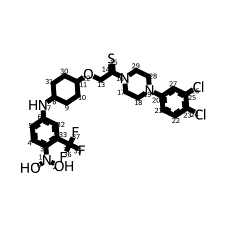 ON(O)c1ccc(NC2CCC(OCC(=S)N3CCN(c4ccc(Cl)c(Cl)c4)CC3)CC2)cc1C(F)(F)F